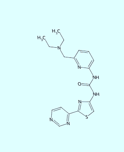 CCN(CC)Cc1cccc(NC(=O)Nc2csc(-c3ccncn3)n2)n1